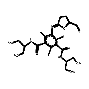 CC(=O)OCC(COC(C)=O)NC(=O)c1c(I)c(N=C2CCC(CI)O2)c(I)c(C(=O)NC(COC(C)=O)COC(C)=O)c1I